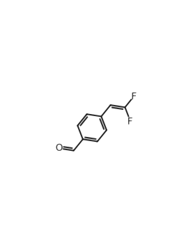 O=Cc1ccc(C=C(F)F)cc1